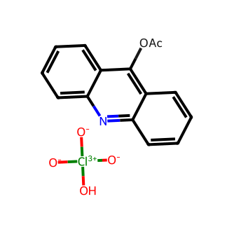 CC(=O)Oc1c2ccccc2nc2ccccc12.[O-][Cl+3]([O-])([O-])O